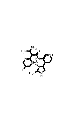 CC1NCC(C2CCNC=C2NC(=O)C(C2=NCC(F)CN2)C(N)N)N1C